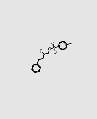 Cc1ccc(S(=O)(=O)OCC(F)CCc2ccccc2)cc1